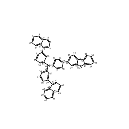 c1cc(-c2cccc3ccccc23)cc(N(c2ccc(-c3ccc4c(c3)sc3ccccc34)cc2)c2cccc(-c3cccc4ccccc34)c2)c1